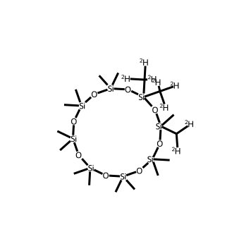 [2H]C([2H])[Si]1(C)O[Si](C)(C)O[Si](C)(C)O[Si](C)(C)O[Si](C)(C)O[Si](C)(C)O[Si](C)(C)O[Si](C([2H])([2H])[2H])(C([2H])([2H])[2H])O1